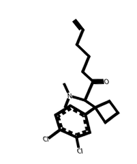 C=CCCCC(=O)C(N(C)C)C1(c2ccc(Cl)c(Cl)c2)CCC1